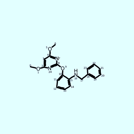 COc1cc(OC)nc(Oc2ccccc2NCc2ccccc2)n1